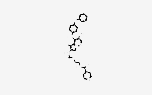 Cc1c(NC(=O)OCCNC(=O)c2ccncc2)cn2ncc(C#N)c(Nc3ccc(Oc4ccccc4)cc3)c12